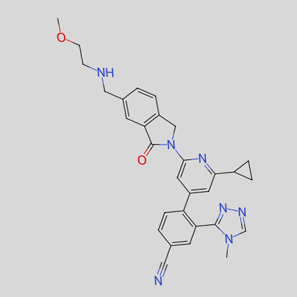 COCCNCc1ccc2c(c1)C(=O)N(c1cc(-c3ccc(C#N)cc3-c3nncn3C)cc(C3CC3)n1)C2